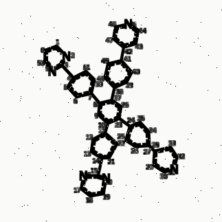 c1cnc(-c2ccc(-c3cc(-c4ccc(-c5ncccn5)cc4)c(-c4ccc(-c5ccncc5)cc4)cc3-c3ccc(-c4ccncc4)cc3)cc2)nc1